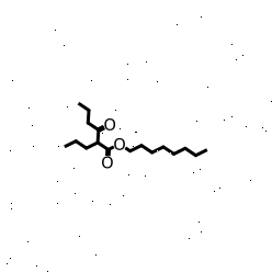 CCCCCCCCOC(=O)C(CCC)C(=O)CCC